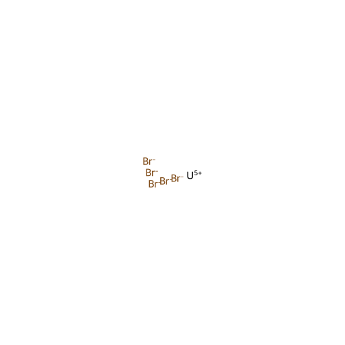 [Br-].[Br-].[Br-].[Br-].[Br-].[U+5]